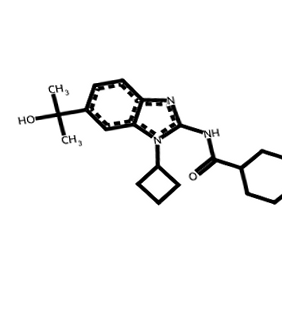 CC(C)(O)c1ccc2nc(NC(=O)C3CCCCC3)n(C3CCC3)c2c1